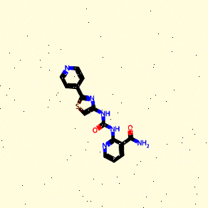 NC(=O)c1cccnc1NC(=O)Nc1csc(-c2ccncc2)n1